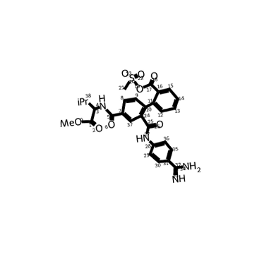 COC(=O)C(NC(=O)c1ccc(-c2ccccc2C(=O)OS(C)(=O)=O)c(C(=O)Nc2ccc(C(=N)N)cc2)c1)C(C)C